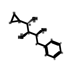 [NH][C@@H](Cc1ccccc1)[C@@H](O)[C@@H](O)C1CC1